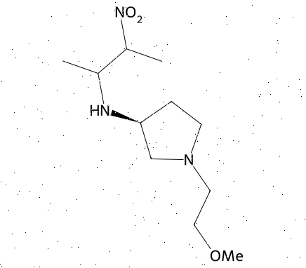 COCCN1CC[C@H](NC(C)C(C)[N+](=O)[O-])C1